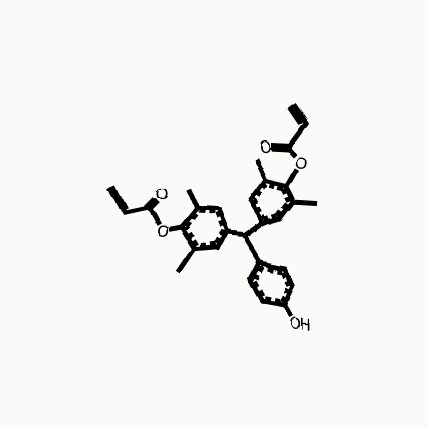 C=CC(=O)Oc1c(C)cc(C(c2ccc(O)cc2)c2cc(C)c(OC(=O)C=C)c(C)c2)cc1C